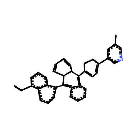 CCc1cccc2c(C3=c4ccccc4=C(C4=CC=C(c5cncc(C)c5)CC4)C4C=CC=CC34)cccc12